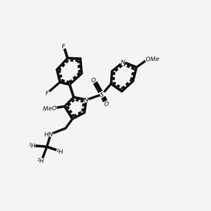 [2H]C([2H])([2H])NCc1cn(S(=O)(=O)c2ccc(OC)nc2)c(-c2ccc(F)cc2F)c1OC